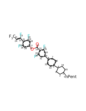 CCCCCC1CCC(c2ccc(-c3cc(F)c(C(=O)Oc4cc(F)c(/C(F)=C/C(F)(F)F)c(F)c4)c(F)c3)cc2)CC1